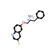 N[C@@H](COc1ccc2ncc(F)cc2c1)Cc1ccccc1